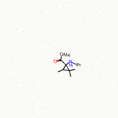 COC(=O)C1(NC(C)C)C(C)C1(C)C